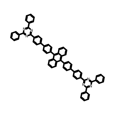 c1ccc(-c2nc(-c3ccccc3)nc(-c3ccc(-c4ccc(-c5c6ccccc6c(-c6ccc(-c7ccc(-c8nc(-c9ccccc9)nc(-c9ccccc9)n8)cc7)cc6)c6ccccc56)cc4)cc3)n2)cc1